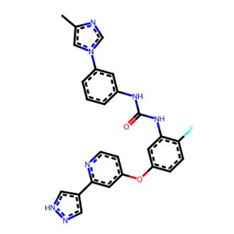 Cc1cn(-c2cccc(NC(=O)Nc3cc(Oc4ccnc(-c5cn[nH]c5)c4)ccc3F)c2)cn1